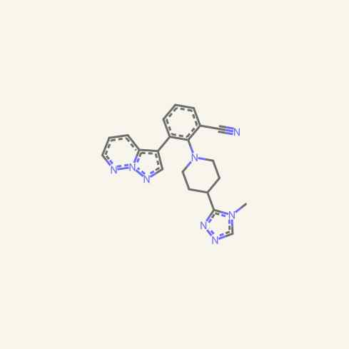 Cn1cnnc1C1CCN(c2c(C#N)cccc2-c2cnn3ncccc23)CC1